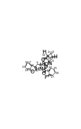 CC1(C)[C@@H]2C[C@H]3OB([C@H](Cc4coc5ccccc45)NS(=O)(=O)c4ccccc4F)O[C@@]3(C)[C@H]1C2